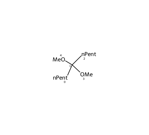 CCCCCC(CCCCC)(OC)OC